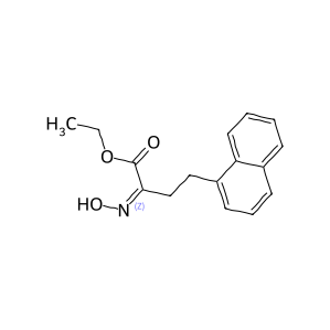 CCOC(=O)/C(CCc1cccc2ccccc12)=N\O